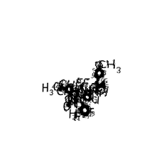 COc1ccc(CC2(S(=O)(=O)Nc3nn(CC(F)F)c4c(-n5c([C@H](Cc6cc(F)cc(F)c6)NC(=O)O)nc6cc(C(C)(C)C)ccc6c5=O)ccc(Cl)c34)CC2)cc1